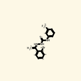 C=C(NNC(=S)Nc1cccc(C(F)(F)F)c1)c1ccccc1Br